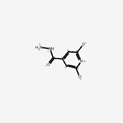 NNC(=O)c1cc(Cl)nc(Cl)c1